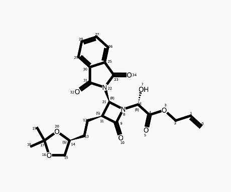 C=CCOC(=O)[C@@H](O)N1C(=O)[C@@H](CC[C@H]2COC(C)(C)O2)[C@H]1N1C(=O)c2ccccc2C1=O